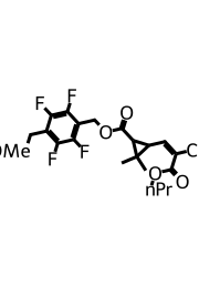 CCCOC(=O)C(C#N)=CC1C(C(=O)OCc2c(F)c(F)c(COC)c(F)c2F)C1(C)C